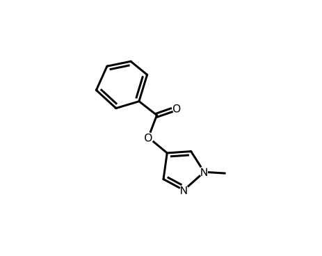 Cn1cc(OC(=O)c2ccccc2)cn1